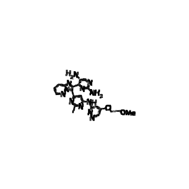 COCCOc1cnnc(Nc2cc(-c3c(-c4nc(N)ncc4N)nc4cccnn34)nc(C)n2)c1